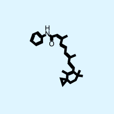 CC1=C(/C=C/C(C)=C/C=C/C(C)=C\C(=O)Nc2ccccc2)C(C)(C)CCC12CC2